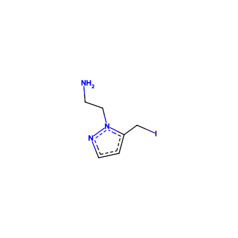 NCCn1nccc1CI